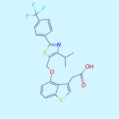 CC(C)c1nc(-c2ccc(C(F)(F)F)cc2)sc1COc1cccc2scc(CC(=O)O)c12